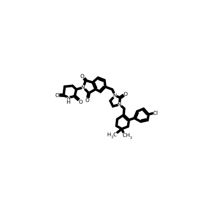 CC1(C)CCC(CN2CCN(Cc3ccc4c(c3)C(=O)N(C3CCC(=O)NC3=O)C4=O)C2=O)=C(c2ccc(Cl)cc2)C1